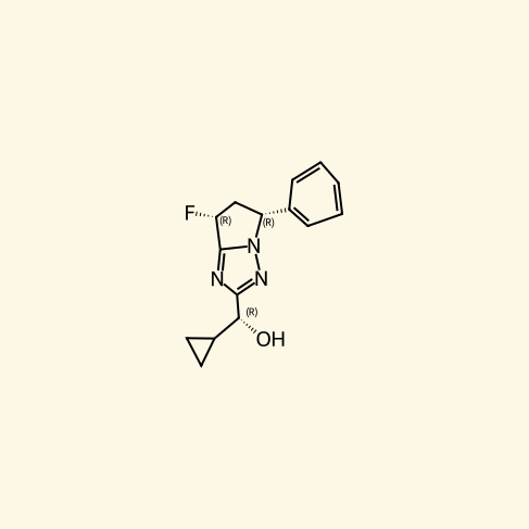 O[C@@H](c1nc2n(n1)[C@@H](c1ccccc1)C[C@H]2F)C1CC1